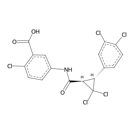 O=C(O)c1cc(NC(=O)[C@H]2[C@H](c3ccc(Cl)c(Cl)c3)C2(Cl)Cl)ccc1Cl